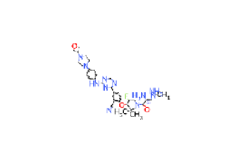 CN(N)/C=C(\N)C(=O)N1CC(F)C(Oc2ccc(-c3ncnc(Nc4ccc(N5CCN(C6COC6)CC5)cc4)n3)cc2C#N)C(C)(C)C1